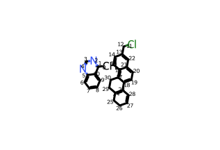 Cc1ncnc2ccccc12.ClCc1ccc2c3c(ccc2c1)C1=C(CCC=C1)CC3